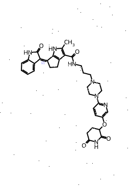 Cc1[nH]c2c(c1C(=O)NCCCN1CCN(c3ccc(OC4CCC(=O)NC4=O)cn3)CC1)CC/C2=C1/C(=O)Nc2ccccc21